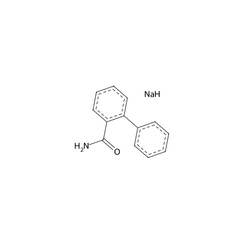 NC(=O)c1ccccc1-c1ccccc1.[NaH]